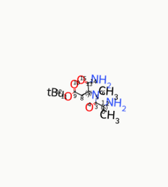 C[C@H](N)C(=O)N(C)[C@@H](CC(=O)OC(C)(C)C)C(N)=O